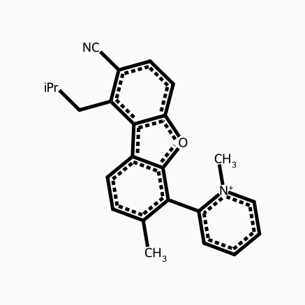 Cc1ccc2c(oc3ccc(C#N)c(CC(C)C)c32)c1-c1cccc[n+]1C